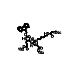 CCCCCCCCCCCC(=O)NCCCCCCNC(=O)C(CCC(=O)OC(C)(C)C)NC(=O)C(CCC(=O)OC(C)(C)C)NC(=O)OCC1c2ccccc2-c2ccccc21